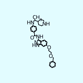 CC(Nc1ccc(C(=O)Nc2n[nH]c3cc(OCCOCc4ccccc4)ccc23)cc1)C1CCNCC1